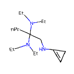 CCCC(CNC1=CC1)(N(CC)CC)N(CC)CC